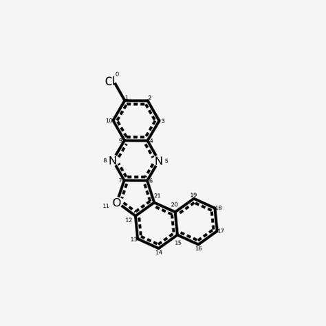 Clc1ccc2nc3c(nc2c1)oc1ccc2ccccc2c13